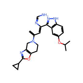 C=C(/C=C(\N=C/N)c1n[nH]c2ccc(OC(C)C)cc12)N1CCc2oc(C3CC3)nc2C1